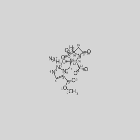 COC(=O)c1cnnn1C[C@@]1(C)[C@H](C(=O)[O-])N2C(=O)C[C@H]2S1(=O)=O.[Na+]